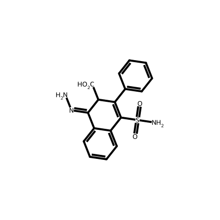 NN=C1c2ccccc2C(S(N)(=O)=O)=C(c2ccccc2)C1C(=O)O